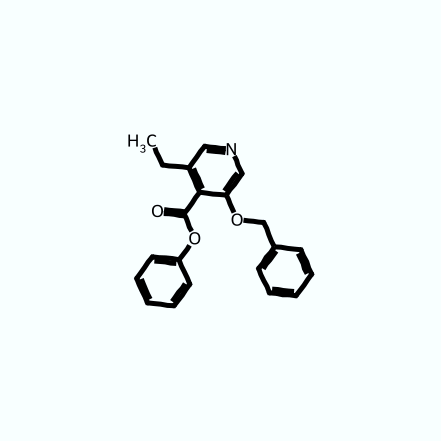 CCc1cncc(OCc2ccccc2)c1C(=O)Oc1ccccc1